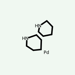 C1CCNCC1.C1CCNCC1.[Pd]